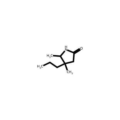 CCCC1(C)CC(=O)NC1C